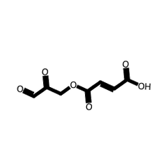 O=CC(=O)COC(=O)/C=C/C(=O)O